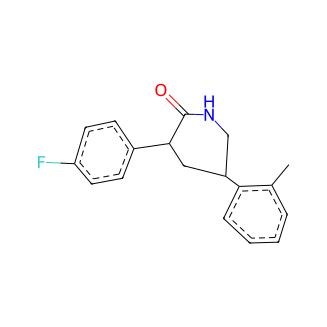 Cc1ccccc1C1CNC(=O)C(c2ccc(F)cc2)C1